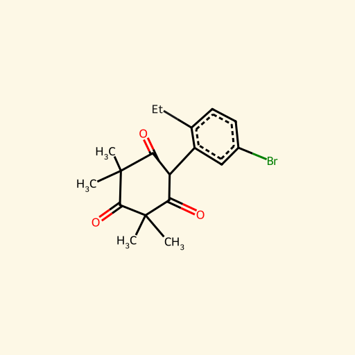 CCc1ccc(Br)cc1C1C(=O)C(C)(C)C(=O)C(C)(C)C1=O